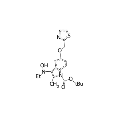 CCN(O)c1c(C)n(C(=O)OC(C)(C)C)c2ccc(OCc3nccs3)cc12